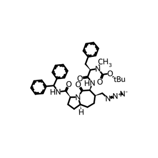 CN(C(=O)OC(C)(C)C)[C@H](Cc1ccccc1)C(=O)N[C@@H]1C(=O)N2[C@@H](CC[C@@H]1CN=[N+]=[N-])CC[C@H]2C(=O)NC(c1ccccc1)c1ccccc1